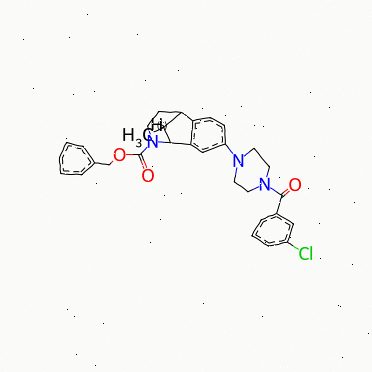 C[C@H]1C2CCN(C(=O)OCc3ccccc3)C1c1cc(N3CCN(C(=O)c4cccc(Cl)c4)CC3)ccc12